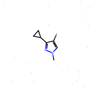 Cn1cc(I)c(C2CC2)n1